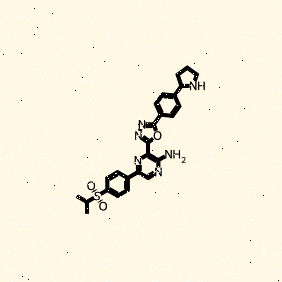 CC(C)S(=O)(=O)c1ccc(-c2cnc(N)c(-c3nnc(-c4ccc(C5CCCN5)cc4)o3)n2)cc1